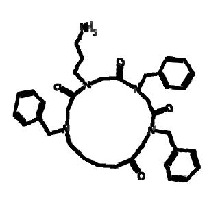 NCCCN1CC(=O)N(Cc2ccccc2)CC(=O)N(Cc2ccccc2)CC(=O)CCCCN(Cc2ccccc2)CC1=O